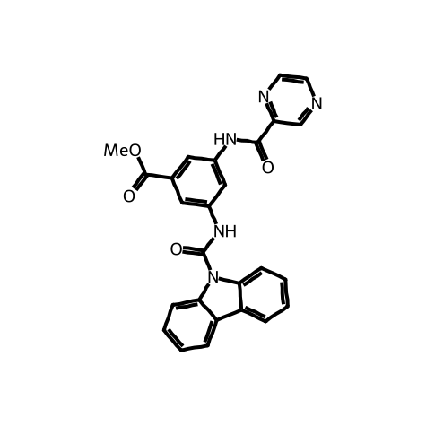 COC(=O)c1cc(NC(=O)c2cnccn2)cc(NC(=O)n2c3ccccc3c3ccccc32)c1